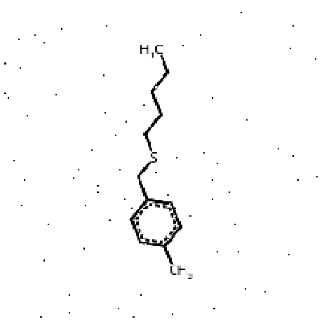 CCCCCSCc1ccc(C)cc1